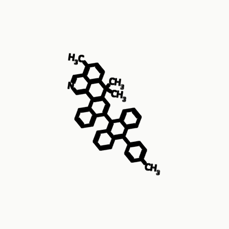 Cc1ccc(-c2c3ccccc3c(-c3cc4c(c5ccccc35)-c3cncc5c(C)ccc(c35)C4(C)C)c3ccccc23)cc1